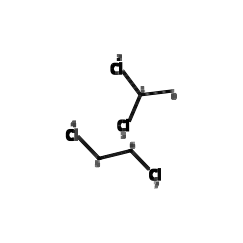 CC(Cl)Cl.ClCCCl